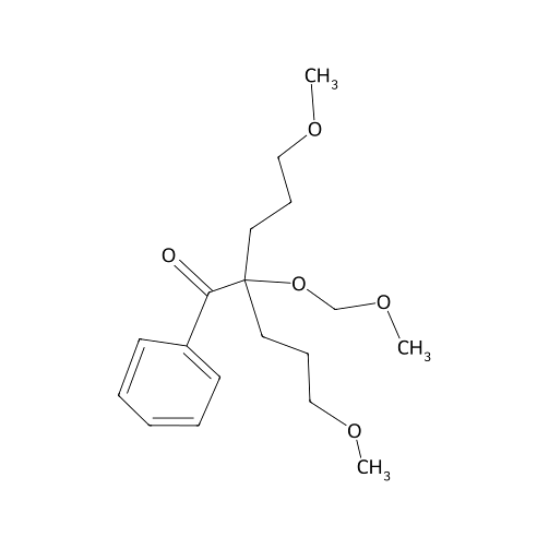 COCCCC(CCCOC)(OCOC)C(=O)c1ccccc1